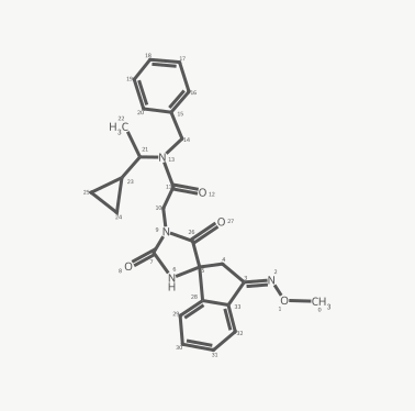 CO/N=C1/CC2(NC(=O)N(CC(=O)N(Cc3ccccc3)C(C)C3CC3)C2=O)c2ccccc21